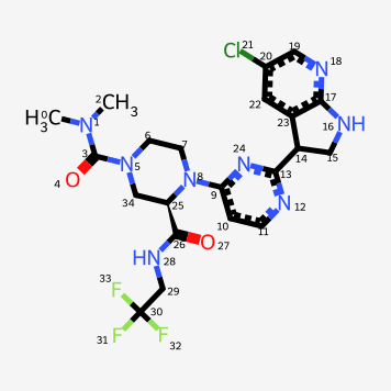 CN(C)C(=O)N1CCN(c2ccnc(C3CNc4ncc(Cl)cc43)n2)[C@@H](C(=O)NCC(F)(F)F)C1